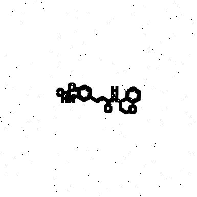 O=C(/C=C/c1ccc2oc(=O)[nH]c2c1)NC1CCOc2ccccc21